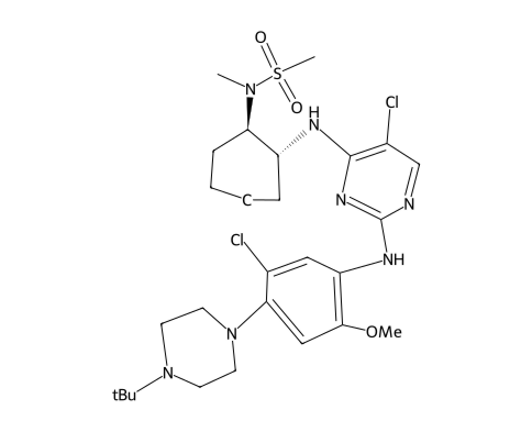 COc1cc(N2CCN(C(C)(C)C)CC2)c(Cl)cc1Nc1ncc(Cl)c(N[C@@H]2CCCC[C@H]2N(C)S(C)(=O)=O)n1